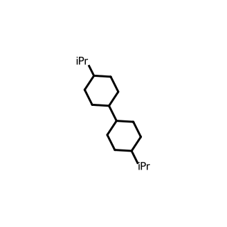 CC(C)C1CCC(C2CCC(C(C)C)CC2)CC1